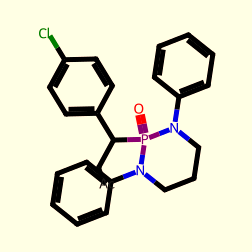 CC(=O)CC(c1ccc(Cl)cc1)P1(=O)N(c2ccccc2)CCCN1c1ccccc1